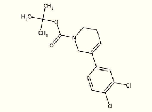 CC(C)(C)OC(=O)N1CCC=C(c2ccc(Cl)c(Cl)c2)C1